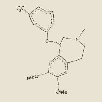 COc1cc2c(cc1OC)C(Oc1cccc(C(F)(F)F)c1)CN(C)CC2